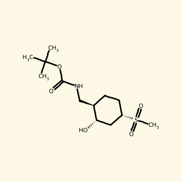 CC(C)(C)OC(=O)NC[C@H]1CC[C@H](S(C)(=O)=O)C[C@@H]1O